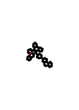 c1ccc(-c2c(N(c3ccc(-c4ccc5c(ccc6ccccc65)c4)cc3)c3ccc4ccccc4c3)c3ccccc3c3ccccc23)cc1